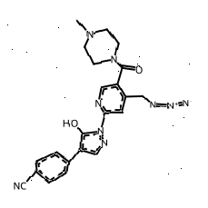 CN1CCN(C(=O)c2cnc(-n3ncc(-c4ccc(C#N)cc4)c3O)cc2CN=[N+]=[N-])CC1